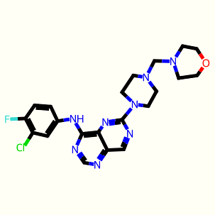 Fc1ccc(Nc2ncnc3cnc(N4CCN(CN5CCOCC5)CC4)nc23)cc1Cl